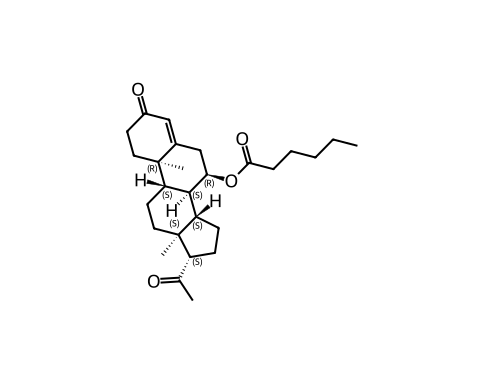 CCCCCC(=O)O[C@@H]1CC2=CC(=O)CC[C@]2(C)[C@H]2CC[C@]3(C)[C@@H](C(C)=O)CC[C@H]3[C@H]12